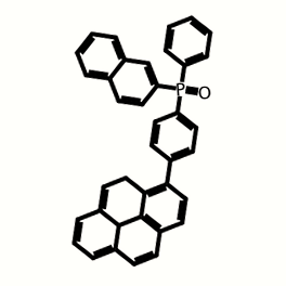 O=P(c1ccccc1)(c1ccc(-c2ccc3c4c2CC=C2C=CC=C(C=C3)C24)cc1)c1ccc2ccccc2c1